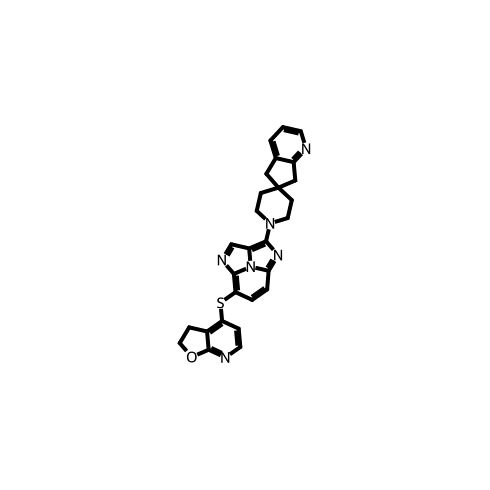 c1cnc2c(c1)CC1(CCN(c3nc4ccc(Sc5ccnc6c5CCO6)c5ncc3n45)CC1)C2